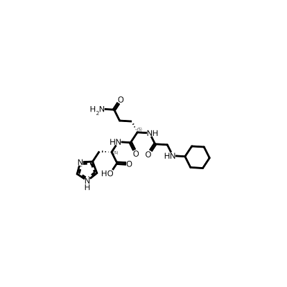 NC(=O)CC[C@H](NC(=O)CNC1CCCCC1)C(=O)N[C@@H](Cc1c[nH]cn1)C(=O)O